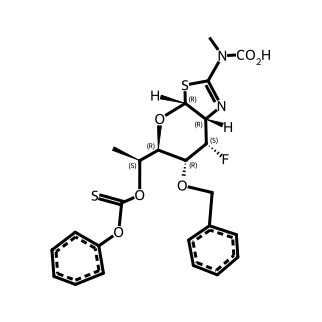 C[C@H](OC(=S)Oc1ccccc1)[C@H]1O[C@@H]2SC(N(C)C(=O)O)=N[C@@H]2[C@H](F)[C@@H]1OCc1ccccc1